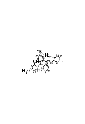 Cc1cc(C)cc(Oc2cccc(-c3c(Cc4ccccc4)cnc4c(C(F)(F)F)cccc34)c2)c1